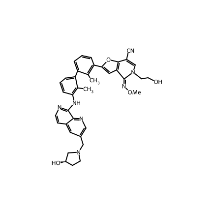 CO/N=c1/c2cc(-c3cccc(-c4cccc(Nc5nccc6cc(CN7CC[C@@H](O)C7)cnc56)c4C)c3C)oc2c(C#N)cn1CCO